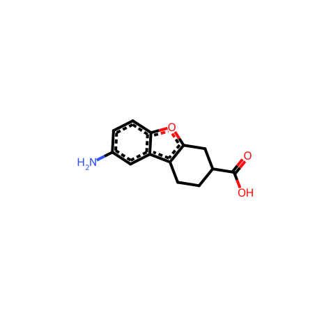 Nc1ccc2oc3c(c2c1)CCC(C(=O)O)C3